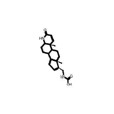 C[C@]12C=CC(=O)NC1CCC1C2CC[C@@]2(C)C1CC[C@@H]2CNC(=O)O